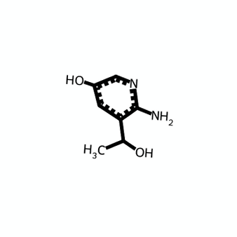 CC(O)c1cc(O)cnc1N